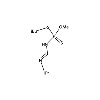 CCC(C)SP(=S)(NC=NC(C)C)OC